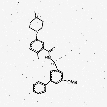 COc1cc(-c2ccccc2)cc([C@@H](C)NC(=O)c2cc(N3CCN(C)CC3)ccc2C)c1